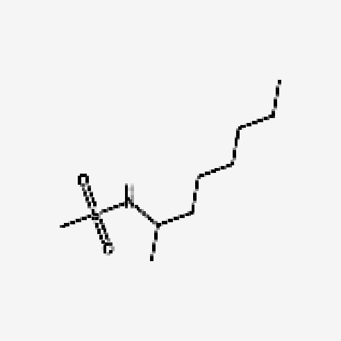 CCCCCCC(C)NS(C)(=O)=O